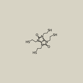 O=c1n(CCS)c2c(n1CCS)n(CCS)c(=O)n2CCS